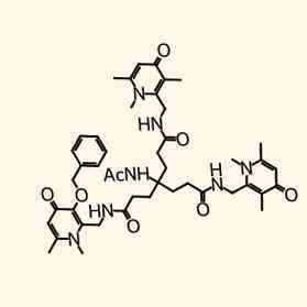 CC(=O)NC(CCC(=O)NCc1c(C)c(=O)cc(C)n1C)(CCC(=O)NCc1c(C)c(=O)cc(C)n1C)CCC(=O)NCc1c(OCc2ccccc2)c(=O)cc(C)n1C